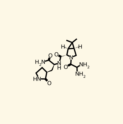 CC1(C)[C@@H]2[C@@H](C(=O)N[C@@H](C[C@@H]3CCNC3=O)C(N)=O)N(C(=O)C(N)N)C[C@@H]21